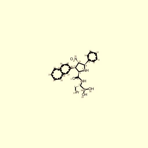 CC(C)C[C@H](NC(=O)[C@@H]1N[C@H](c2ccccc2)[C@@H]([N+](=O)[O-])[C@@H]1c1ccc2ccccc2c1)B(O)O